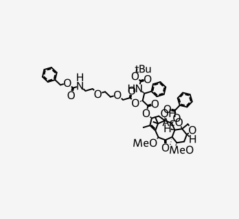 CO[C@H]1C(=O)[C@]2(C)[C@@H](OC)C[C@H]3OC[C@@]3(OC(C)=O)[C@H]2[C@H](OC(=O)c2ccccc2)[C@]2(O)C[C@H](OC(=O)[C@H](OC(=O)COCCOCCNC(=O)OCc3ccccc3)[C@@H](NC(=O)OC(C)(C)C)c3ccccc3)C(C)=C1C2(C)C